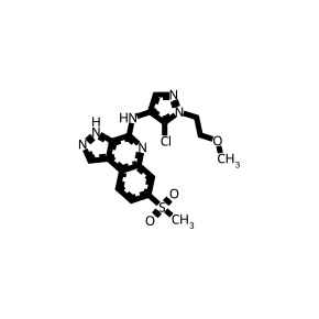 COCCn1ncc(Nc2nc3cc(S(C)(=O)=O)ccc3c3cn[nH]c23)c1Cl